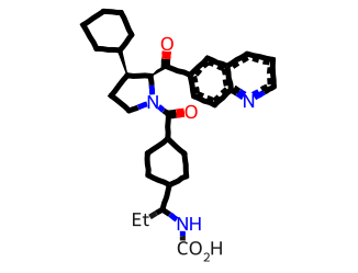 CCC(NC(=O)O)C1CCC(C(=O)N2CC[C@@H](C3CCCCC3)[C@H]2C(=O)c2ccc3ncccc3c2)CC1